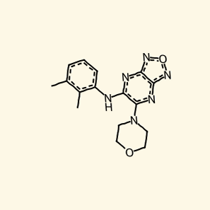 Cc1cccc(Nc2nc3nonc3nc2N2CCOCC2)c1C